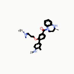 CCCN(C)CCCOc1cc(C(=O)N2CC[C@H](C)Nc3ccccc32)ccc1-c1ccc(NCC)c(C)c1